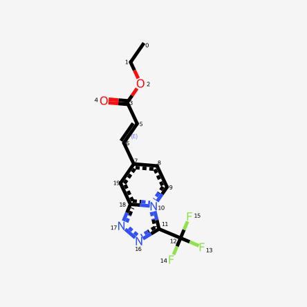 CCOC(=O)/C=C/c1ccn2c(C(F)(F)F)nnc2c1